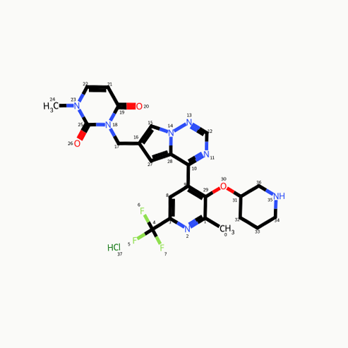 Cc1nc(C(F)(F)F)cc(-c2ncnn3cc(Cn4c(=O)ccn(C)c4=O)cc23)c1OC1CCCNC1.Cl